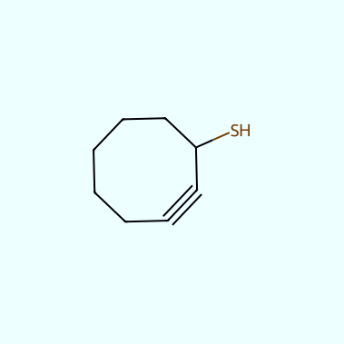 SC1C#CCCCCC1